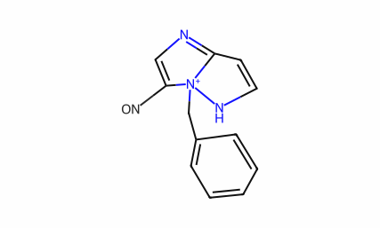 O=NC1=CN=C2C=CN[N+]12Cc1ccccc1